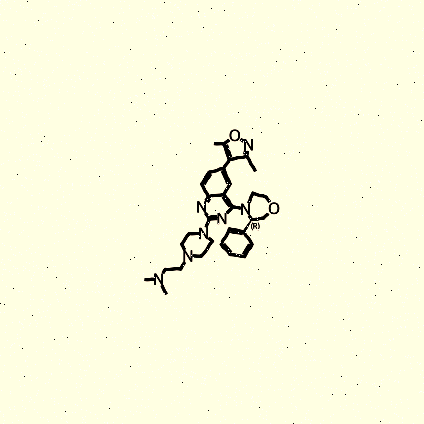 Cc1noc(C)c1-c1ccc2nc(N3CCN(CCN(C)C)CC3)nc(N3CCOC[C@H]3c3ccccc3)c2c1